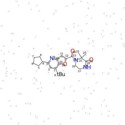 CC(C)(C)c1cc(C2CCCC2)nc2cc(C(=O)N3CCNC(=O)C3(C)C)oc12